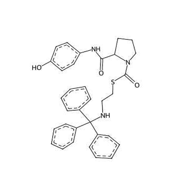 O=C(Nc1ccc(O)cc1)C1CCCN1C(=O)SCCNC(c1ccccc1)(c1ccccc1)c1ccccc1